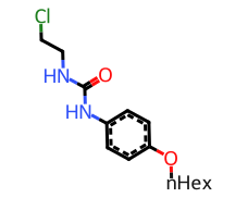 CCCCCCOc1ccc(NC(=O)NCCCl)cc1